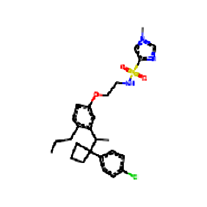 CCCc1ccc(OCCNS(=O)(=O)c2cn(C)cn2)cc1C(C)C1(c2ccc(Cl)cc2)CCC1